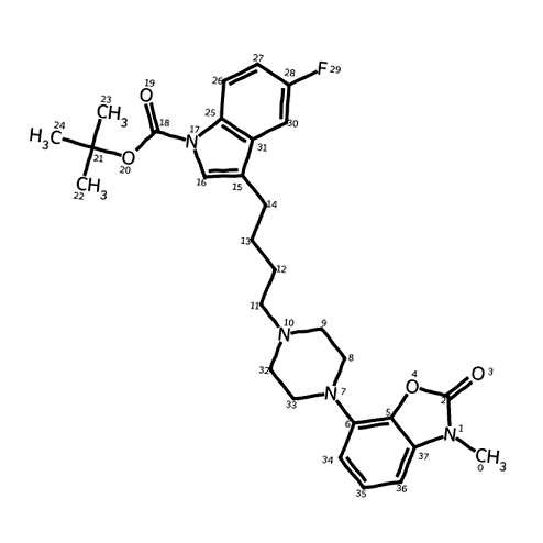 Cn1c(=O)oc2c(N3CCN(CCCCc4cn(C(=O)OC(C)(C)C)c5ccc(F)cc45)CC3)cccc21